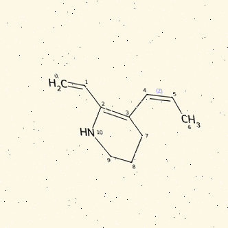 C=CC1=C(/C=C\C)CCCN1